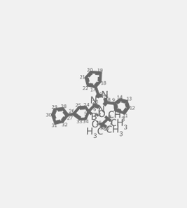 CC1(C)OB(C2(c3nc(-c4ccccc4)nc(-c4ccccc4)n3)C=CC(c3ccccc3)=CC2)OC1(C)C